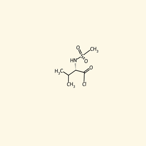 CC(C)[C@H](NS(C)(=O)=O)C(=O)Cl